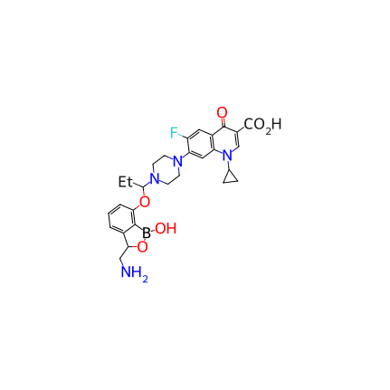 CCC(Oc1cccc2c1B(O)OC2CN)N1CCN(c2cc3c(cc2F)c(=O)c(C(=O)O)cn3C2CC2)CC1